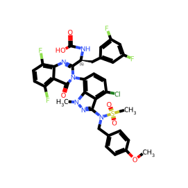 COc1ccc(CN(c2nn(C)c3c(-n4c([C@H](Cc5cc(F)cc(F)c5)NC(=O)O)nc5c(F)ccc(F)c5c4=O)ccc(Cl)c23)S(C)(=O)=O)cc1